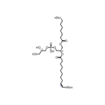 CCCCCCCCC/C=C\CCCCCCCC(=O)O[C@H](COC(=O)CCCCCCCCCCCCCCCC)COP(=O)(O)OC[C@@H](O)CO